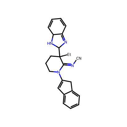 CCC1(C2N=C3C=CC=CC3N2)[CH]CCN(C2=Cc3ccccc3C2)C1=NC#N